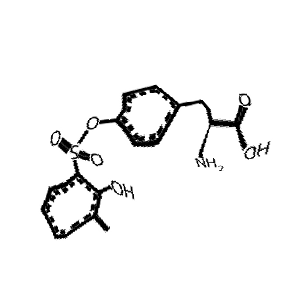 Cc1cccc(S(=O)(=O)Oc2ccc(C[C@H](N)C(=O)O)cc2)c1O